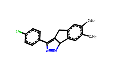 COc1cc2c(cc1OC)C1N=NC(c3ccc(Cl)cc3)=C1C2